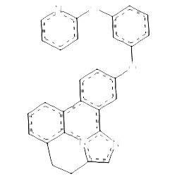 c1ccc(Oc2cccc(Oc3ccc4c(c3)c3ncc5n3c3c(cccc43)CC5)c2)nc1